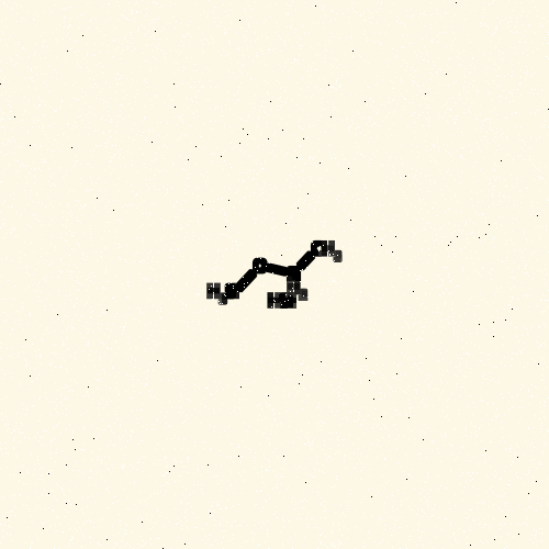 C[SiH2]O[SiH3].[SiH]